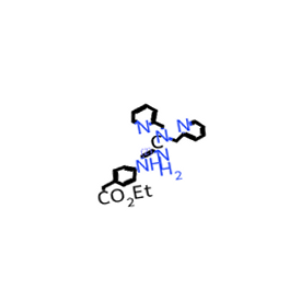 CCOC(=O)Cc1ccc(N/C=C(\N)CN(Cc2ccccn2)Cc2ccccn2)cc1